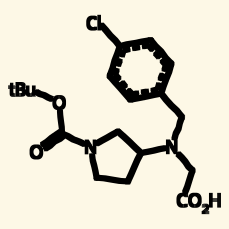 CC(C)(C)OC(=O)N1CCC(N(CC(=O)O)Cc2ccc(Cl)cc2)C1